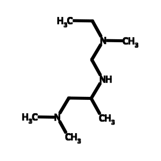 CCN(C)CNC(C)CN(C)C